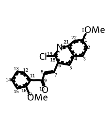 COc1ccc2cc(C=CC(=O)c3ccccc3OC)c(Cl)nc2c1